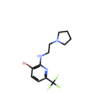 FC(F)(F)c1ccc(Br)c(NCCN2CCCC2)n1